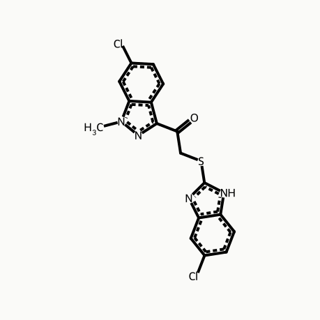 Cn1nc(C(=O)CSc2nc3cc(Cl)ccc3[nH]2)c2ccc(Cl)cc21